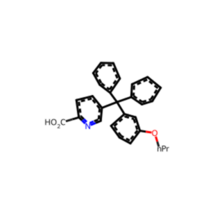 CCCOc1cccc(C(c2ccccc2)(c2ccccc2)c2ccc(C(=O)O)nc2)c1